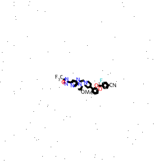 CO[C@@H](C)Cn1c(CN2CCC(c3cccc4c3O[C@@](C)(c3ccc(C#N)cc3F)O4)CC2)nc2cc(-c3noc(C(F)(F)F)n3)ncc21